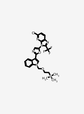 C[Si](C)(C)CCOCn1cc(-c2ncc(-n3c(C(F)(F)F)nc4ccc(Cl)nc43)o2)c2ccccc21